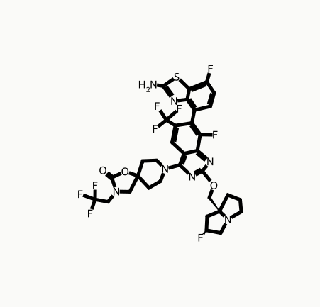 Nc1nc2c(-c3c(C(F)(F)F)cc4c(N5CCC6(CC5)CN(CC(F)(F)F)C(=O)O6)nc(OC[C@@]56CCCN5C[C@H](F)C6)nc4c3F)ccc(F)c2s1